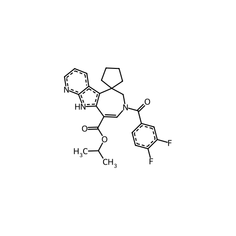 CC(C)OC(=O)C1=CN(C(=O)c2ccc(F)c(F)c2)CC2(CCCC2)c2c1[nH]c1ncccc21